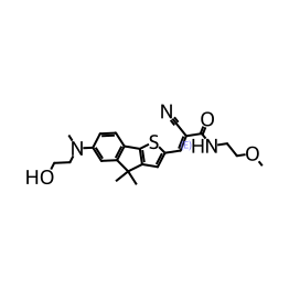 COCCNC(=O)/C(C#N)=C/c1cc2c(s1)-c1ccc(N(C)CCO)cc1C2(C)C